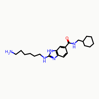 NCCCCCCNc1nc2ccc(C(=O)NCC3CCCCC3)cc2[nH]1